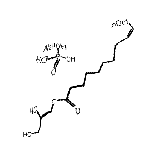 CCCCCCCC/C=C\CCCCCCCC(=O)OCC(O)CO.O=P(O)(O)O.[NaH]